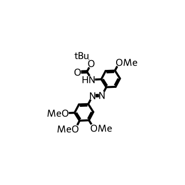 COc1ccc(N=Nc2cc(OC)c(OC)c(OC)c2)c(NC(=O)OC(C)(C)C)c1